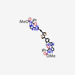 COC(=O)N[C@H](C(=O)N1CCCC1c1ncc(C#Cc2csc3c(-c4ccc(-c5cnc(C6CCCN6C(=O)[C@@H](NC(=O)OC)C(C)C)[nH]5)cc4)csc23)[nH]1)C(C)C